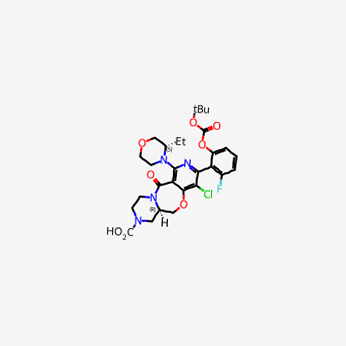 CC[C@H]1COCCN1c1nc(-c2c(F)cccc2OC(=O)OC(C)(C)C)c(Cl)c2c1C(=O)N1CCN(C(=O)O)C[C@@H]1CO2